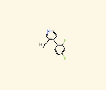 Cc1cnccc1-c1ccc(F)cc1F